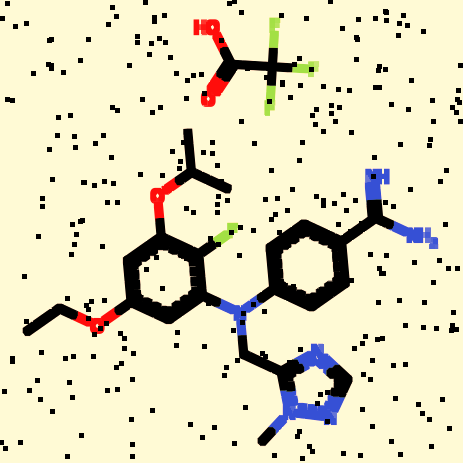 CCOc1cc(OC(C)C)c(F)c(N(Cc2ncnn2C)c2ccc(C(=N)N)cc2)c1.O=C(O)C(F)(F)F